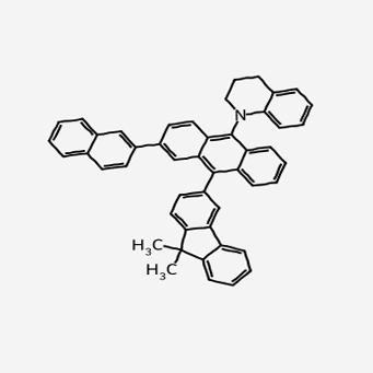 CC1(C)c2ccccc2-c2cc(-c3c4ccccc4c(N4CCCc5ccccc54)c4ccc(-c5ccc6ccccc6c5)cc34)ccc21